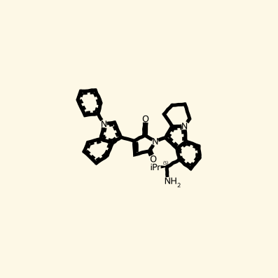 CC(C)[C@H](N)c1cccc2c1c(N1C(=O)C=C(c3cn(-c4ccccc4)c4ccccc34)C1=O)c1n2CCCC1